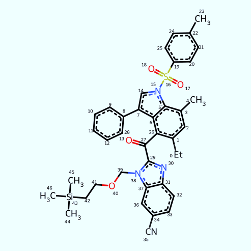 CCc1cc(C)c2c(c(-c3ccccc3)cn2S(=O)(=O)c2ccc(C)cc2)c1C(=O)c1nc2ccc(C#N)cc2n1COCC[Si](C)(C)C